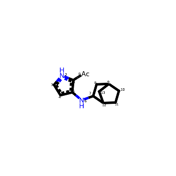 CC(=O)c1[nH]ccc1NC1CC2CCC1C2